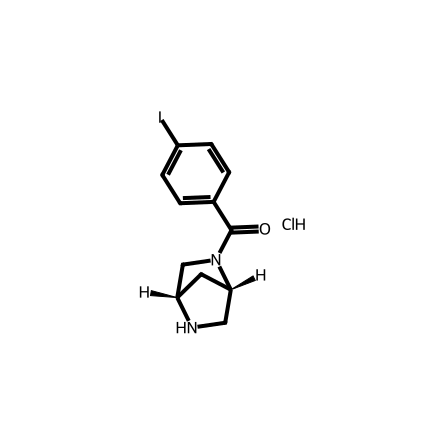 Cl.O=C(c1ccc(I)cc1)N1C[C@@H]2C[C@H]1CN2